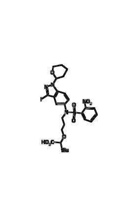 CC(C)(C)C(OCCCN(c1ccc2c(c1)c(I)nn2C1CCCCO1)S(=O)(=O)c1ccccc1[N+](=O)[O-])C(=O)O